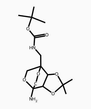 CC(C)(C)OC(=O)NCC12COC(N)(CO1)C1OC(C)(C)OC12